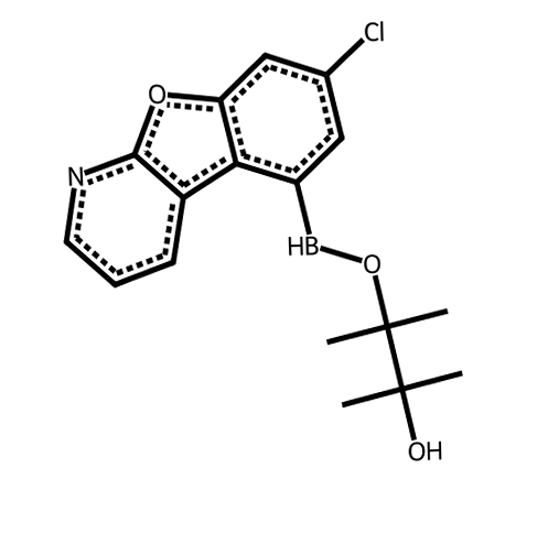 CC(C)(O)C(C)(C)OBc1cc(Cl)cc2oc3ncccc3c12